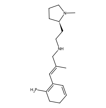 C/C(=C\C1=C(P)CCC=C1)CNCC[C@H]1CCCN1C